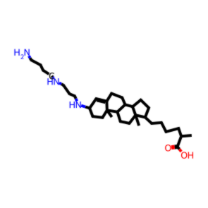 CC(CCCCC1CCC2C3CCC4=CC(NCCCNCCCCN)CCC4(C)C3CCC12C)C(=O)O